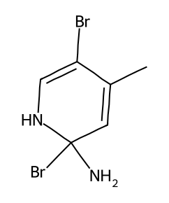 CC1=CC(N)(Br)NC=C1Br